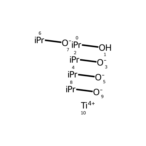 CC(C)O.CC(C)[O-].CC(C)[O-].CC(C)[O-].CC(C)[O-].[Ti+4]